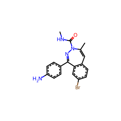 CNC(=O)N1N=C(c2ccc(N)cc2)c2cc(Br)ccc2C=C1C